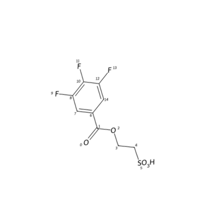 O=C(OCCS(=O)(=O)O)c1cc(F)c(F)c(F)c1